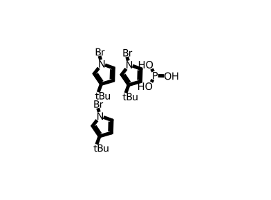 CC(C)(C)c1ccn(Br)c1.CC(C)(C)c1ccn(Br)c1.CC(C)(C)c1ccn(Br)c1.OP(O)O